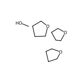 C1CCOC1.C1CCOC1.C1CCOC1.CO